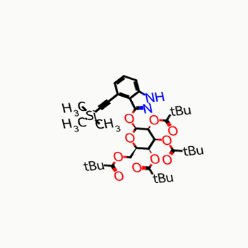 CC(C)(C)C(=O)OC[C@H]1O[C@@H](Oc2n[nH]c3cccc(C#C[Si](C)(C)C)c23)[C@H](OC(=O)C(C)(C)C)[C@@H](OC(=O)C(C)(C)C)[C@@H]1OC(=O)C(C)(C)C